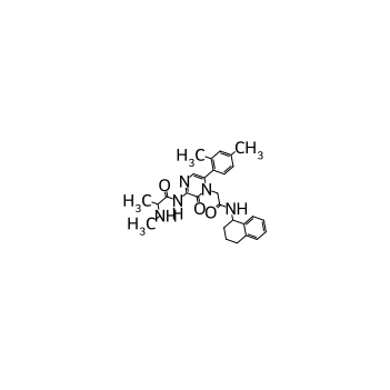 CNC(C)C(=O)Nc1ncc(-c2ccc(C)cc2C)n(CC(=O)NC2CCCc3ccccc32)c1=O